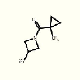 CC(C)C1CN(C(=O)C2(C(F)(F)F)CC2)C1